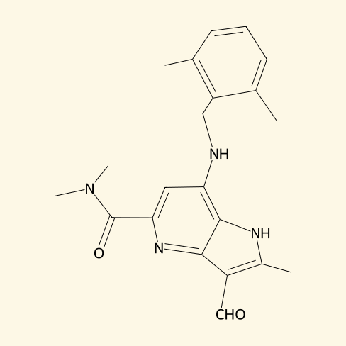 Cc1cccc(C)c1CNc1cc(C(=O)N(C)C)nc2c(C=O)c(C)[nH]c12